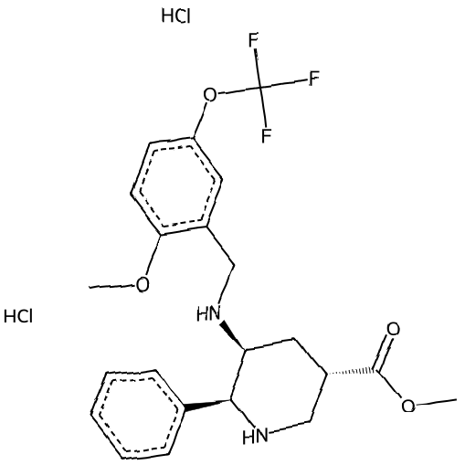 COC(=O)[C@@H]1CN[C@@H](c2ccccc2)[C@@H](NCc2cc(OC(F)(F)F)ccc2OC)C1.Cl.Cl